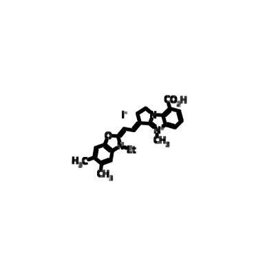 CCN1C(=CC=C2CCn3c2[n+](C)c2cccc(C(=O)O)c23)Oc2cc(C)c(C)cc21.[I-]